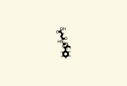 Cc1nc(NC(=O)C=CC(=O)O)sc1-c1ccccc1